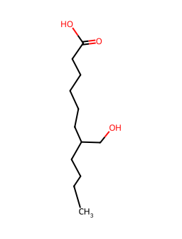 CCCCC(CO)CCCCCC(=O)O